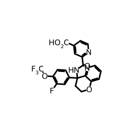 O=C(O)c1ccnc(C(=O)NC2(c3ccc(OC(F)(F)F)c(F)c3)CCOc3cccnc32)c1